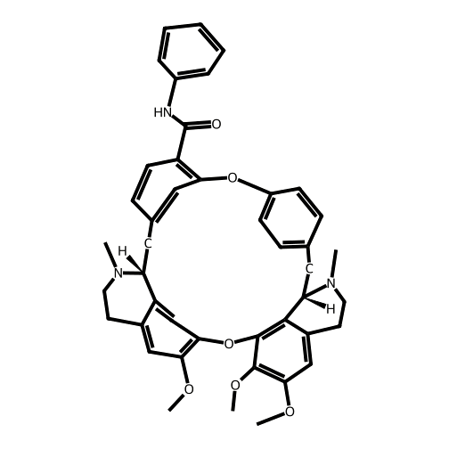 COc1cc2c3cc1Oc1c(OC)c(OC)cc4c1[C@H](Cc1ccc(cc1)Oc1cc(ccc1C(=O)Nc1ccccc1)C[C@H]3N(C)CC2)N(C)CC4